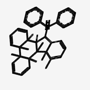 CC1=CC=CC2C([SiH](c3ccccc3)c3ccccc3)C3(C)C4(C)C=CC=CC4(C)C4(C)C=CC=CC4(C)C3(C)C12C